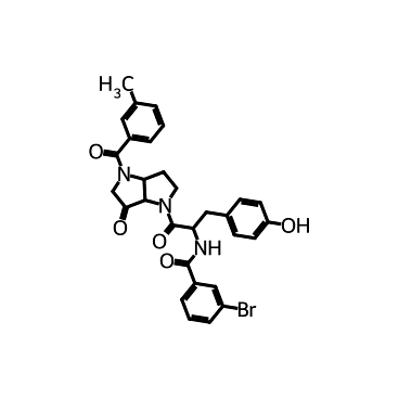 Cc1cccc(C(=O)N2CC(=O)C3C2CCN3C(=O)C(Cc2ccc(O)cc2)NC(=O)c2cccc(Br)c2)c1